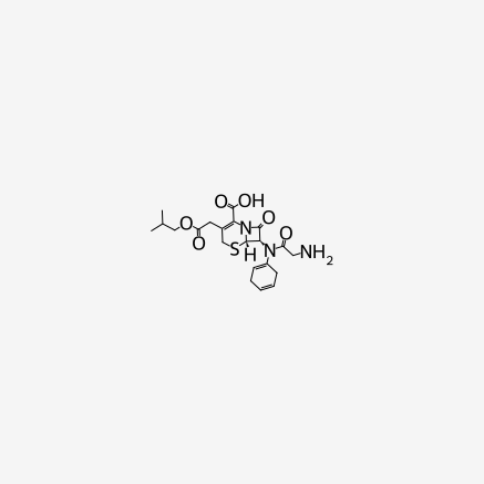 CC(C)COC(=O)CC1=C(C(=O)O)N2C(=O)[C@@H](N(C(=O)CN)C3=CCC=CC3)[C@@H]2SC1